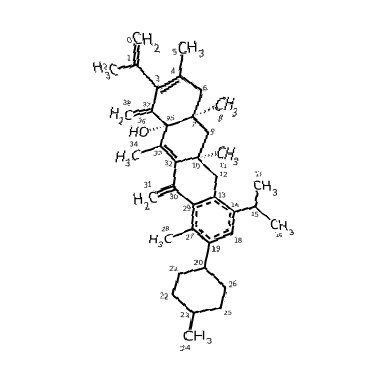 C=C(C)C1=C(C)C[C@@]2(C)C[C@@]3(C)Cc4c(C(C)C)cc(C5CCC(C)CC5)c(C)c4C(=C)C3=C(C)[C@@]2(O)C1=C